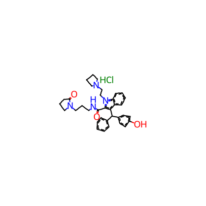 Cl.O=C(NCCCN1CCCC1=O)c1c(C(c2ccccc2)c2ccc(O)cc2)c2ccccc2n1CCN1CCCC1